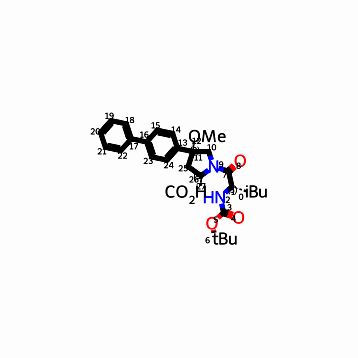 CCC(C)[C@H](NC(=O)OC(C)(C)C)C(=O)N1C[C@](OC)(c2ccc(-c3ccccc3)cc2)C[C@H]1C(=O)O